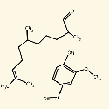 CC(C)=CCCC(C)CCCC(C)C=O.COc1cc(C=O)ccc1O